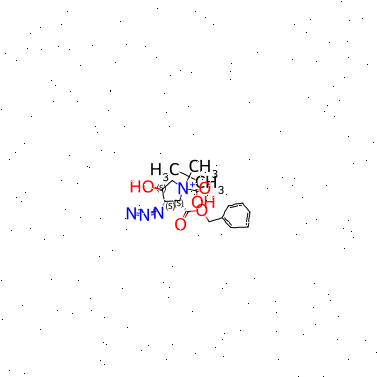 CC(C)(C)[N+]1(C(=O)O)C[C@H](O)[C@@H](N=[N+]=[N-])[C@H]1C(=O)OCc1ccccc1